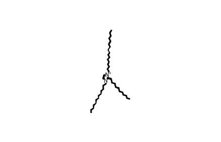 CCCCCCCCCCCCCCCCC[n+]1ccn(CCCCCCCCCCCCC)c1CCCCCCCCCCC